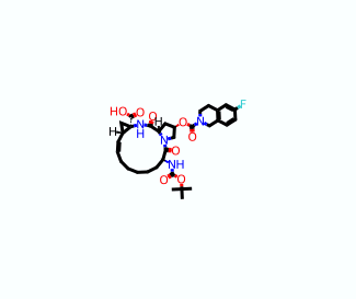 CC(C)(C)OC(=O)N[C@H]1CCCCC/C=C\[C@@H]2C[C@@]2(C(=O)O)NC(=O)[C@@H]2C[C@@H](OC(=O)N3CCc4cc(F)ccc4C3)CN2C1=O